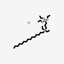 CCCCCCCCCCCCCCC[N+](CC)(CC)CCC[Si](OCC)(OCC)OCC.[Cl-]